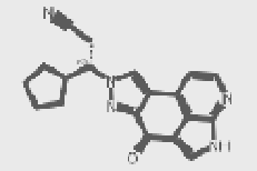 N#CC[C@@H](C1CCCC1)n1cc2c(n1)C(=O)c1c[nH]c3nccc-2c13